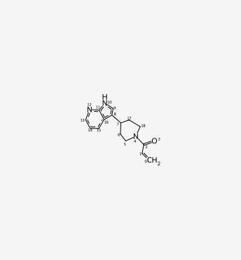 C=CC(=O)N1CCC(c2c[nH]c3ncccc23)CC1